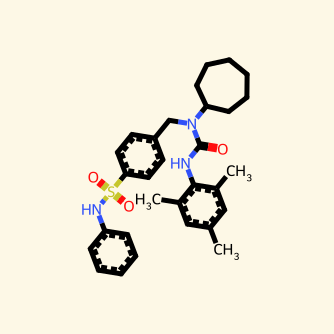 Cc1cc(C)c(NC(=O)N(Cc2ccc(S(=O)(=O)Nc3ccccc3)cc2)C2CCCCCC2)c(C)c1